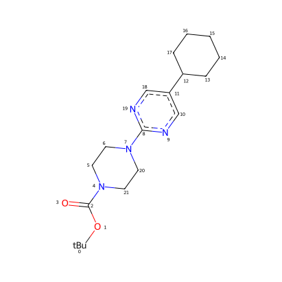 CC(C)(C)OC(=O)N1CCN(c2ncc(C3CCCCC3)cn2)CC1